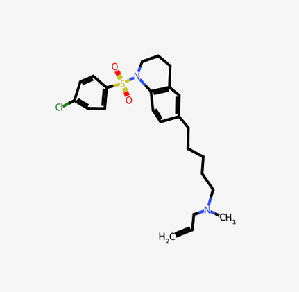 C=CCN(C)CCCCCc1ccc2c(c1)CCCN2S(=O)(=O)c1ccc(Cl)cc1